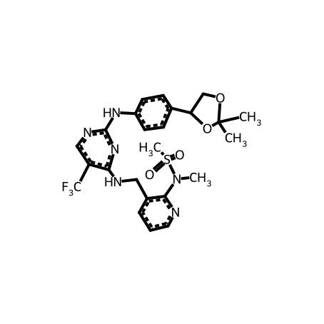 CN(c1ncccc1CNc1nc(Nc2ccc(C3COC(C)(C)O3)cc2)ncc1C(F)(F)F)S(C)(=O)=O